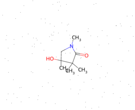 CN1CC(C)(O)C(C)(C)C1=O